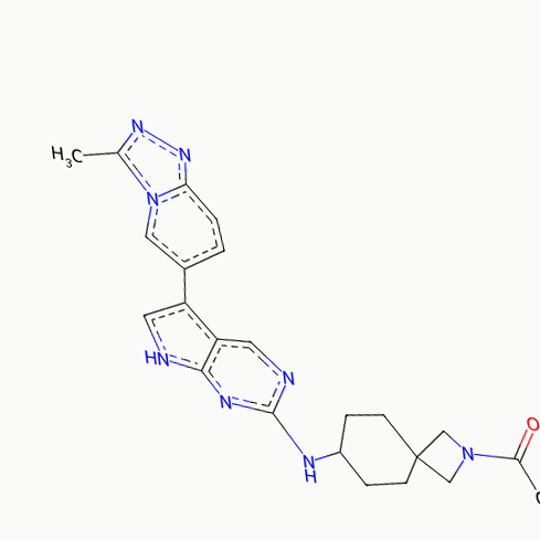 CC(=O)N1CC2(CCC(Nc3ncc4c(-c5ccc6nnc(C)n6c5)c[nH]c4n3)CC2)C1